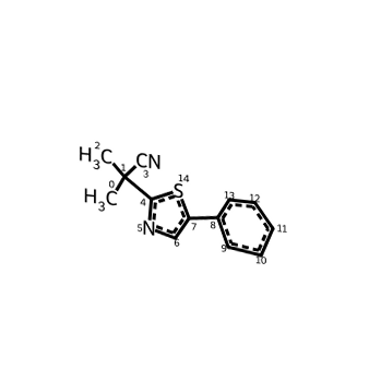 CC(C)(C#N)c1ncc(-c2ccccc2)s1